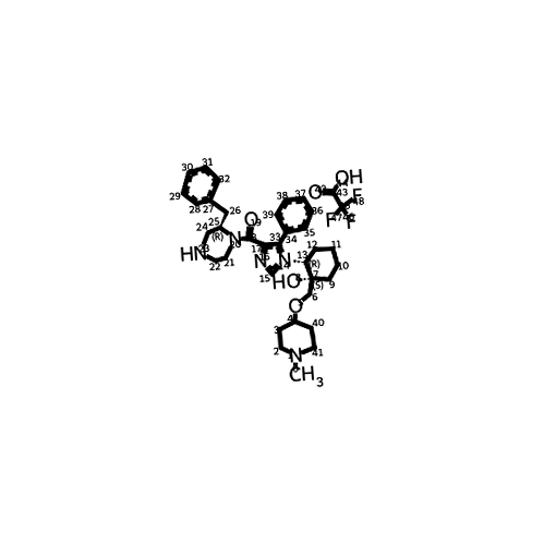 CN1CCC(OC[C@]2(O)CCCC[C@H]2n2cnc(C(=O)N3CCNC[C@H]3Cc3ccccc3)c2-c2ccccc2)CC1.O=C(O)C(F)(F)F